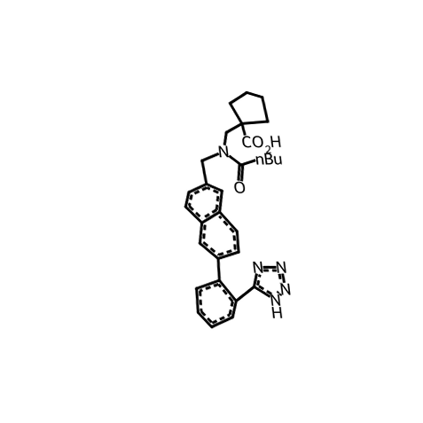 CCCCC(=O)N(Cc1ccc2cc(-c3ccccc3-c3nnn[nH]3)ccc2c1)CC1(C(=O)O)CCCC1